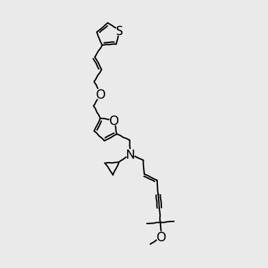 COC(C)(C)C#CC=CCN(Cc1ccc(COCC=Cc2ccsc2)o1)C1CC1